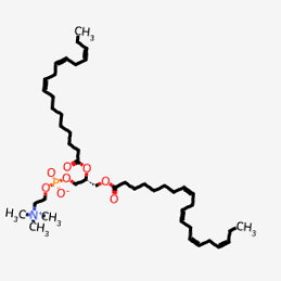 CC/C=C\C/C=C\C/C=C\C/C=C\CCCCCCC(=O)OC[C@H](COP(=O)([O-])OCC[N+](C)(C)C)OC(=O)CCCCCCC/C=C\C/C=C\C/C=C\CC